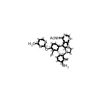 CC(=O)Nc1ncnc2c1c(-c1ccc(Oc3nccc(C)n3)c(F)c1)c1n2CCN1c1cccc(N)c1F